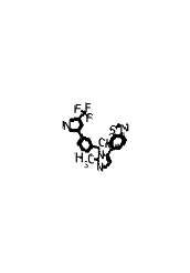 CC1N=CC=C(c2ccc3ncsc3c2)N1C(C)c1cccc(-c2cncc(C(F)(F)F)c2)c1